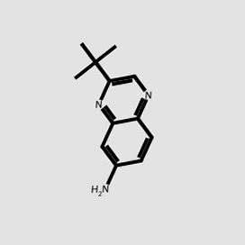 CC(C)(C)c1cnc2ccc(N)cc2n1